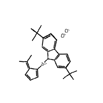 CC(C)=C1C=CC=[C]1[Zr+2][CH]1c2cc(C(C)(C)C)ccc2-c2ccc(C(C)(C)C)cc21.[Cl-].[Cl-]